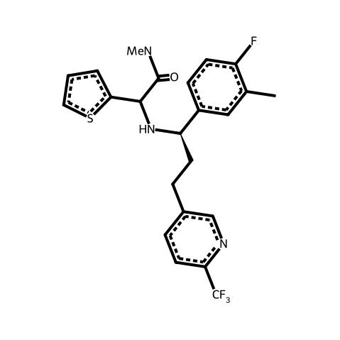 CNC(=O)C(N[C@H](CCc1ccc(C(F)(F)F)nc1)c1ccc(F)c(C)c1)c1cccs1